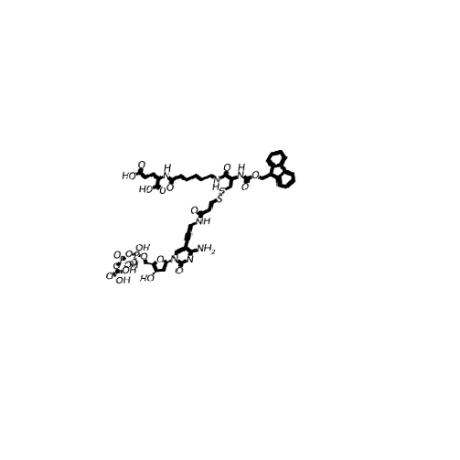 Nc1nc(=O)n([C@H]2C[C@@H](O)[C@@H](COP(=O)(O)OP(=O)(O)OP(=O)(O)O)O2)cc1C#CCNC(=O)CCSSCC(NC(=O)OCC1c2ccccc2-c2ccccc21)C(=O)NCCCCCC(=O)NC(CCC(=O)O)C(=O)O